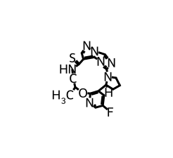 CC1CNC(=S)c2cnn3cnc(nc23)N2CCC[C@@H]2c2cc(F)cnc2O1